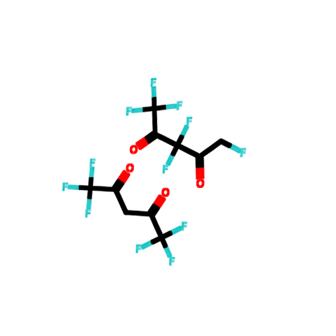 O=C(CC(=O)C(F)(F)F)C(F)(F)F.O=C(CF)C(F)(F)C(=O)C(F)(F)F